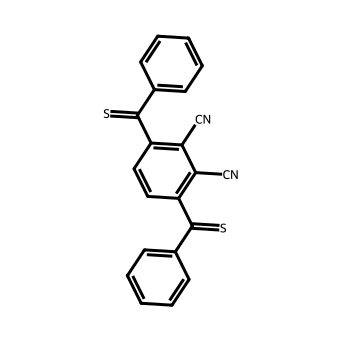 N#Cc1c(C(=S)c2ccccc2)ccc(C(=S)c2ccccc2)c1C#N